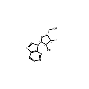 OC[C@H]1O[C@@H](n2cnc3cnnnc32)[C@H](O)[C@@H]1O